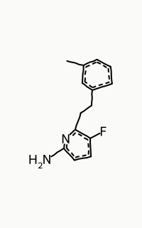 Cc1cccc(CCc2nc(N)ccc2F)c1